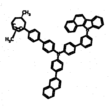 C[C@H]1CC2CCC(c3ccc(-c4ccc(N(c5ccc(-c6cccc(-n7c8ccccc8c8ccc9ccccc9c87)c6)cc5)c5ccc(-c6ccc7ccccc7c6)cc5)cc4)cc3)(C1)C[C@@H](C)C2